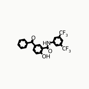 O=C(c1ccccc1)c1ccc(O)c(C(=O)Nc2cc(C(F)(F)F)cc(C(F)(F)F)c2)c1